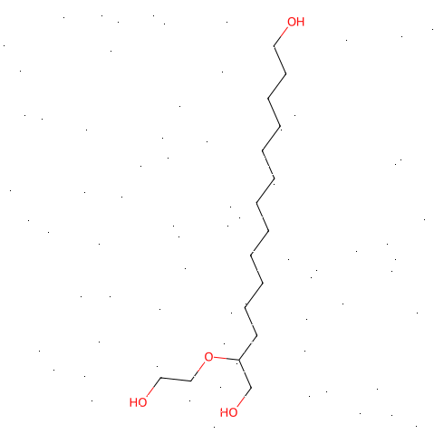 OCCCCCCCCCCCCC(CO)OCCO